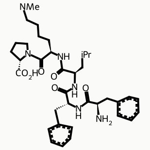 CNCCCC[C@@H](NC(=O)[C@@H](CC(C)C)NC(=O)[C@@H](Cc1ccccc1)NC(=O)[C@H](N)Cc1ccccc1)C(=O)N1CCC[C@H]1C(=O)O